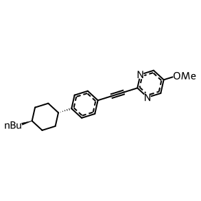 CCCC[C@H]1CC[C@H](c2ccc(C#Cc3ncc(OC)cn3)cc2)CC1